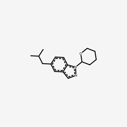 CC(C)Cc1ccc2c(cnn2C2CCCCO2)c1